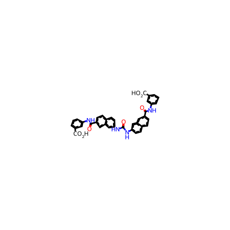 O=C(Nc1ccc2ccc(C(=O)Nc3cccc(C(=O)O)c3)cc2c1)Nc1ccc2ccc(C(=O)Nc3cccc(C(=O)O)c3)cc2c1